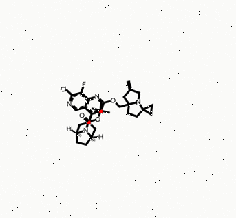 C=C1CN2C3(CC3)CCC2(COc2nc(N3C[C@H]4CC[C@@H](C3)N4C(=O)OC(C)(C)C)c3cnc(Cl)c(F)c3n2)C1